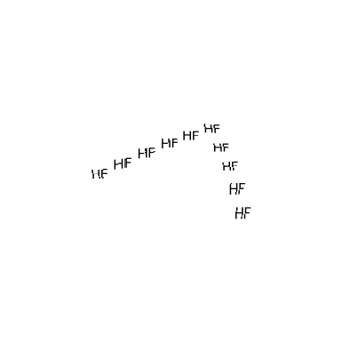 F.F.F.F.F.F.F.F.F.F